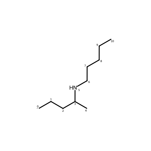 [CH2]CCC(C)NCCCCC